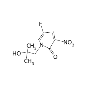 CC(C)(O)Cn1cc(F)cc([N+](=O)[O-])c1=O